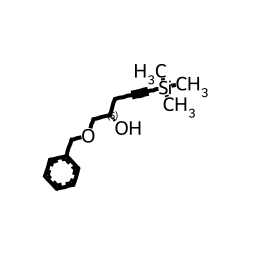 C[Si](C)(C)C#CC[C@H](O)COCc1ccccc1